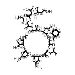 CC(C)C[C@@H]1NC(=O)[C@@H](Cc2ccccc2)NC(=O)[C@H](CCN)NC(=O)[C@@H](NC(=O)[C@H](CCN)NC(=O)[C@@H](NC(=O)CCO)C(C)O)CCNC(=O)C(C(C)O)NC(=O)[C@H](CCN)NC(=O)[C@H](CCN)NC1=O